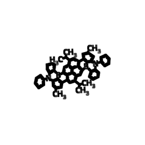 Cc1cc2c3c(c1)N(c1ccccc1)c1ccccc1B3c1cc3c(C(C)C)cc4c5c(cc6c(C(C)C)cc-2c1c6c35)B1c2ccccc2N(c2ccccc2)c2cc(C)cc-4c21